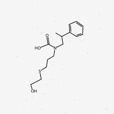 CC(CN(CCCSCCO)C(=O)O)c1ccccc1